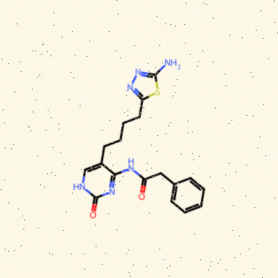 Nc1nnc(CCCCc2c[nH]c(=O)nc2NC(=O)Cc2ccccc2)s1